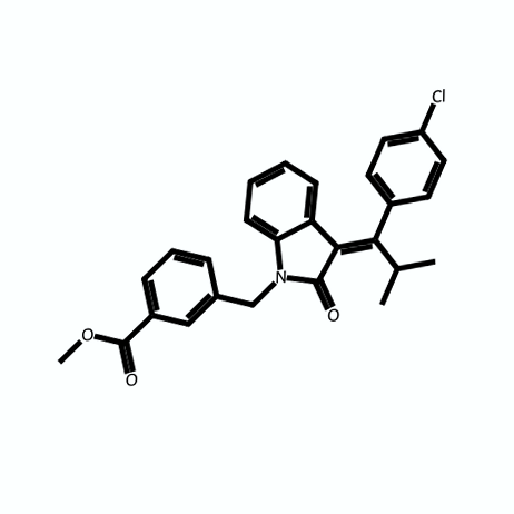 COC(=O)c1cccc(CN2C(=O)C(=C(c3ccc(Cl)cc3)C(C)C)c3ccccc32)c1